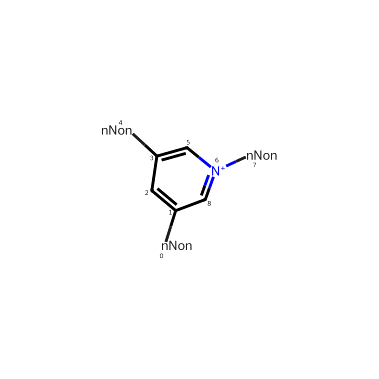 CCCCCCCCCc1cc(CCCCCCCCC)c[n+](CCCCCCCCC)c1